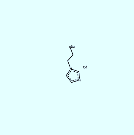 CCCCCCn1ccnc1.[Cd]